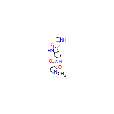 Cn1cccc(C(=O)Nc2ccc3c(c2)NC(=O)C3=Cc2ccc[nH]2)c1=O